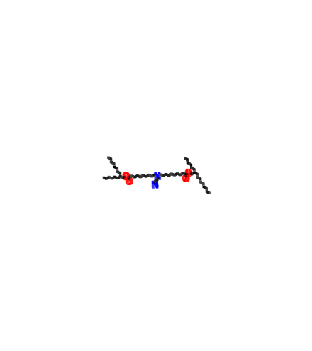 CCCCCCCCCC(CCCCCC)COC(=O)CCCCCCCCCN(CCCCCCCCCC(=O)OCC(CCCCCC)CCCCCCCC)CCN(C)C